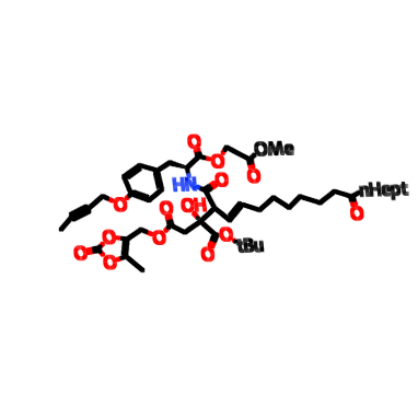 CC#CCOc1ccc(C[C@H](NC(=O)C(/C=C/CCCCCCC(=O)CCCCCCC)[C@@](O)(CC(=O)OCc2oc(=O)oc2C)C(=O)OC(C)(C)C)C(=O)OCC(=O)OC)cc1